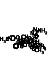 CC(C)C(=O)O[C@H]1[C@H](c2ccc3c(N)ncnn23)O[C@]2(C)C(OP(=O)(N[C@@H](C)C(=O)OC3CCN(C)CC3)Oc3ccccc3)[C@]12OC(=O)C(C)C